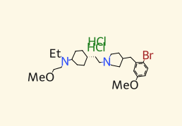 CCN(CCOC)[C@H]1CC[C@H](CCN2CCC(Cc3cc(OC)ccc3Br)CC2)CC1.Cl.Cl